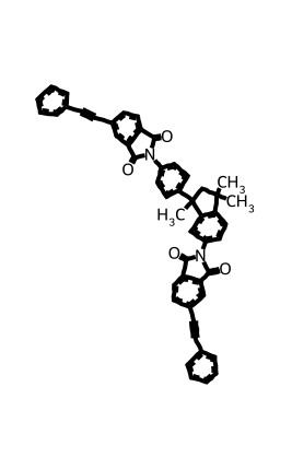 CC1(C)CC(C)(c2ccc(N3C(=O)c4ccc(C#Cc5ccccc5)cc4C3=O)cc2)c2cc(N3C(=O)c4ccc(C#Cc5ccccc5)cc4C3=O)ccc21